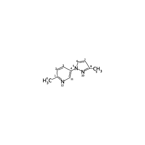 Cc1ccc(-n2ccc(C)n2)cn1